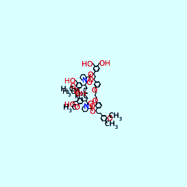 CCC(C(=O)N1CCCCC1C(=O)OC(CCc1ccc(C)c(OC)c1)c1cccc(OCCCOc2cccc(C(CCc3ccc(CO)c(CO)c3)OC(=O)C3CCCCN3C(=O)C(CC)c3cc(CO)c(OC)c(OC)c3)c2)c1)c1cc(CO)c(CO)c(OC)c1